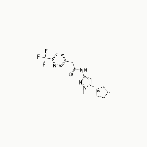 O=C(Cc1ccc(C(F)(F)F)nc1)Nc1cc([C@@H]2C[CH]CC2)[nH]n1